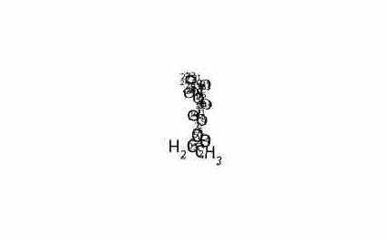 C=C(C)C(=O)OCCOC(=O)CCC(=O)OCN1C(=O)c2ccccc2C1=O